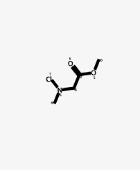 COC(=O)CN(C)Cl